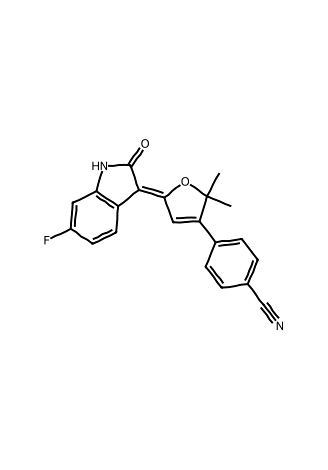 CC1(C)OC(=C2C(=O)Nc3cc(F)ccc32)C=C1c1ccc(C#N)cc1